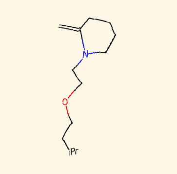 C=C1CCCCN1CCOCCC(C)C